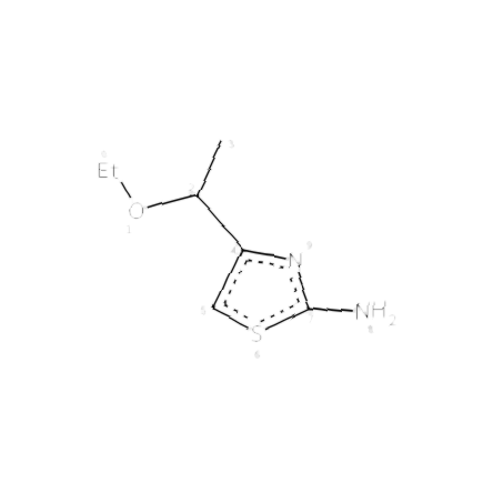 CCO[C](C)c1csc(N)n1